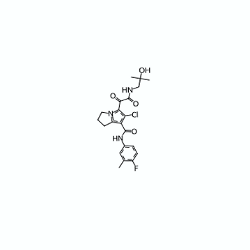 Cc1cc(NC(=O)c2c(Cl)c(C(=O)C(=O)NCC(C)(C)O)n3c2CCC3)ccc1F